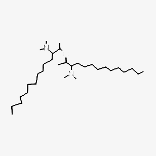 CCCCCCCCCCCC(C(C)OC(C)C(CCCCCCCCCCC)N(C)C)N(C)C